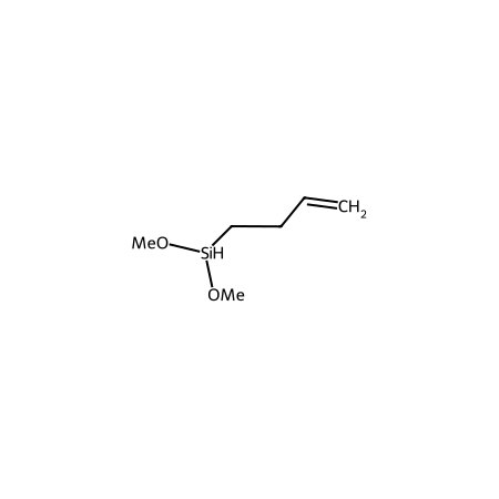 C=CCC[SiH](OC)OC